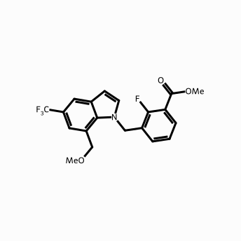 COCc1cc(C(F)(F)F)cc2ccn(Cc3cccc(C(=O)OC)c3F)c12